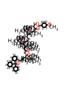 COc1ccc(C2OC[C@H](C)[C@@H]([C@@H](C)[C@@H](CC[C@H](C)C[C@@H](C)[C@@H](O[Si](C)(C)C(C)(C)C)[C@@H](C)C=C[C@H](C[C@H](O[Si](C)(C)C(C)(C)C)[C@@H](C)C=CCOC(c3ccccc3)(c3ccccc3)c3ccccc3)O[Si](C)(C)C(C)(C)C)O[Si](C)(C)C(C)(C)C)O2)cc1